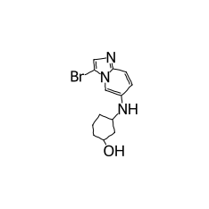 OC1CCCC(Nc2ccc3ncc(Br)n3c2)C1